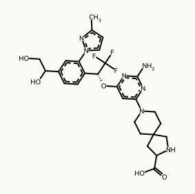 Cc1ccn(-c2cc(C(O)CO)ccc2[C@@H](Oc2cc(N3CCC4(CC3)CNC(C(=O)O)C4)nc(N)n2)C(F)(F)F)n1